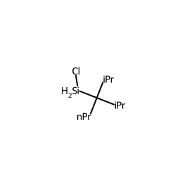 CCCC([SiH2]Cl)(C(C)C)C(C)C